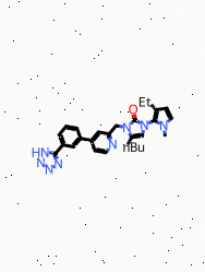 CCCCc1cn(-c2c(CC)ccn2C)c(=O)n1Cc1cc(-c2cccc(-c3nnn[nH]3)c2)ccn1